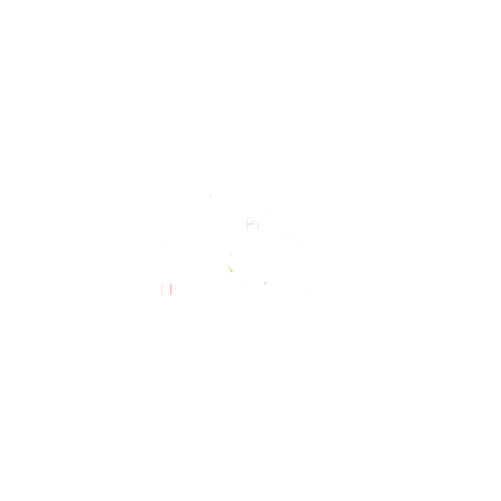 O[C@@H]1CCCC[C@H]1Sc1ccccc1Br